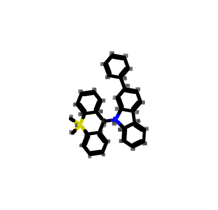 CS1(C)c2ccccc2B(n2c3ccccc3c3ccc(-c4ccccc4)cc32)c2ccccc21